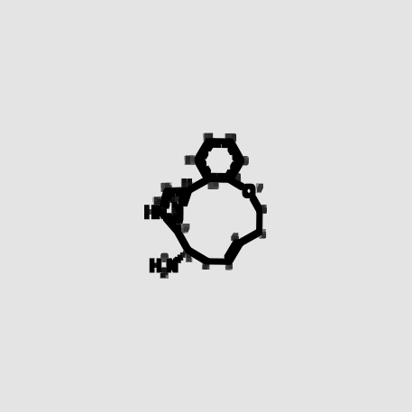 N[C@H]1C/C=C/CCOc2ccccc2-c2c[nH]c1n2